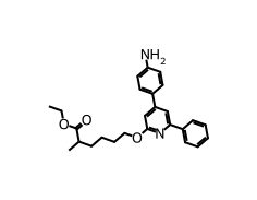 CCOC(=O)C(C)CCCCOc1cc(-c2ccc(N)cc2)cc(-c2ccccc2)n1